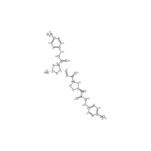 O=C(N[C@H]1CCN(C(=O)C=C[C@@H]2C[C@H](S)CN2C(=O)OCc2ccc([N+](=O)[O-])cc2)C1)OCc1ccc([N+](=O)[O-])cc1